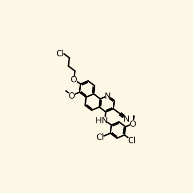 COc1cc(Nc2c(C#N)cnc3c2ccc2c(OC)c(OCCCCl)ccc23)c(Cl)cc1Cl